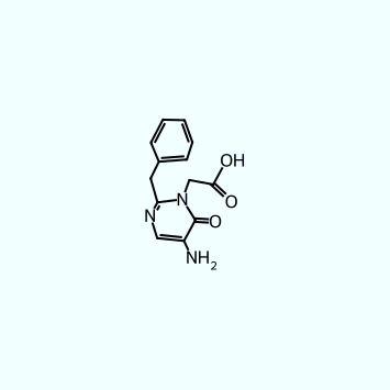 Nc1cnc(Cc2ccccc2)n(CC(=O)O)c1=O